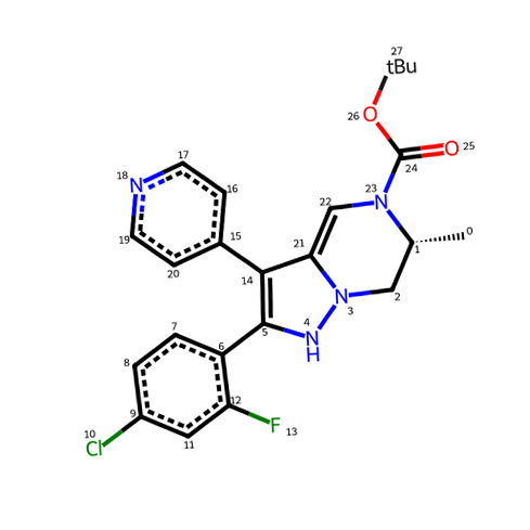 C[C@@H]1CN2NC(c3ccc(Cl)cc3F)=C(c3ccncc3)C2=CN1C(=O)OC(C)(C)C